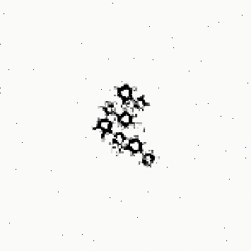 Cc1cccc(-n2ccnc2)c1C.FC(F)(F)c1ccc(-n2ccnc2)cc1.FC(F)(F)c1cccc(-n2ccnc2)c1.FC(F)(F)c1ccccc1-n1ccnc1